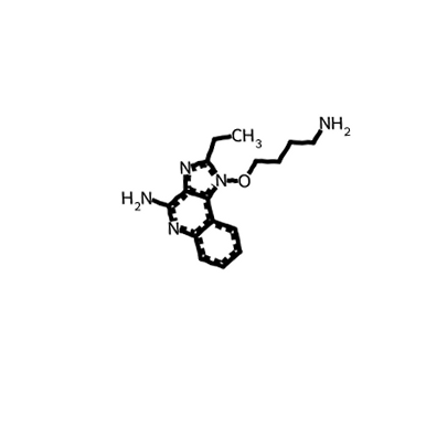 CCc1nc2c(N)nc3ccccc3c2n1OCCCCN